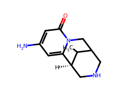 CC1C2CNC[C@H]1c1cc(N)cc(=O)n1C2